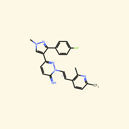 Cc1nc(C(F)(F)F)ccc1/C=C/n1nc(-c2cn(C)nc2-c2ccc(F)cc2)ccc1=N